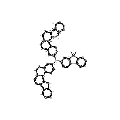 CC1(C)c2ccccc2-c2ccc(N(c3ccc4c(ccc5ccc6c7ccccc7oc6c54)c3)c3ccc4c(ccc5ccc6c7ccccc7sc6c54)c3)cc21